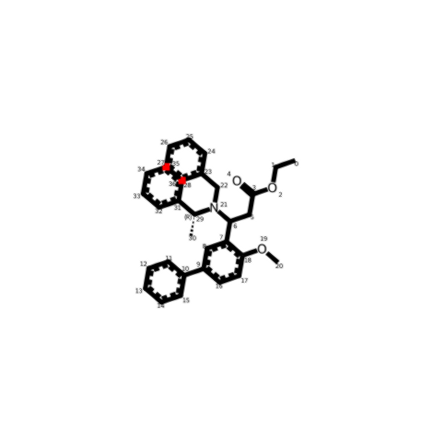 CCOC(=O)CC(c1cc(-c2ccccc2)ccc1OC)N(Cc1ccccc1)[C@H](C)c1ccccc1